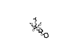 COCO[C@@]1(Cc2cc(OC3CCCCCC3)ccn2)C(=O)N(COC)C1CSCC(C)C